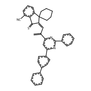 C=C(/C=C1\C(=S)c2c(C#N)cccc2C12CCCCC2)c1cc(-c2ccc(-c3ccccc3)cc2)nc(-c2ccccc2)n1